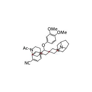 COc1ccc(OC(CCCN2C3CCC2CN(CCCN2CCN(C(C)=O)CC2)C3)c2ccc(C#N)cc2)cc1OC